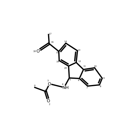 CC(=O)ONC1c2ccccc2-c2ccc(C(C)=O)cc21